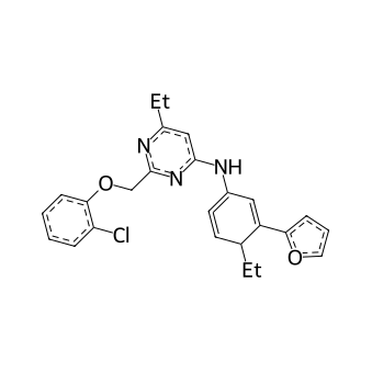 CCc1cc(NC2=C=CC(CC)C(c3ccco3)=C2)nc(COc2ccccc2Cl)n1